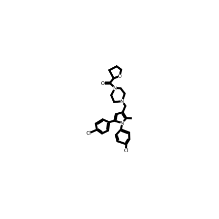 Cc1c(CN2CCN(C(=O)C3CCCO3)CC2)cc(-c2ccc(Cl)cc2)n1-c1ccc(Cl)cc1